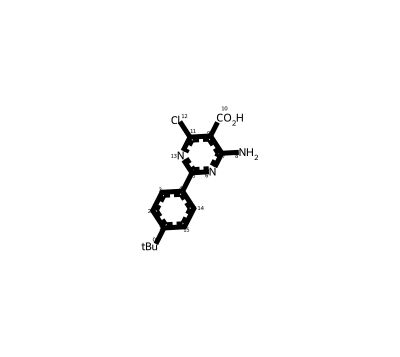 CC(C)(C)c1ccc(-c2nc(N)c(C(=O)O)c(Cl)n2)cc1